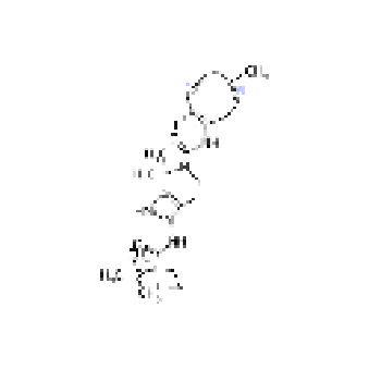 C/C1=C/C/C(NC(=O)N2CCc3c([nH]n3NC(=O)C3(S(C)(C)C)CCC3)C2(C)C)=C(F)\C=C/C1